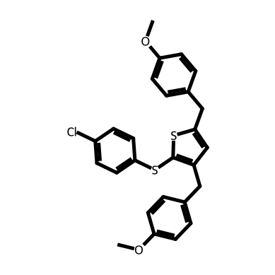 COc1ccc(Cc2cc(Cc3ccc(OC)cc3)c(Sc3ccc(Cl)cc3)s2)cc1